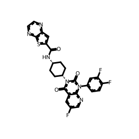 O=C(N[C@H]1CC[C@@H](n2c(=O)c3cc(F)cnc3n(-c3ccc(F)c(F)c3)c2=O)CC1)c1cc2nccnc2s1